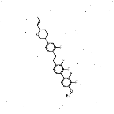 C/C=C/C1CCC(c2ccc(CCc3ccc(-c4ccc(OCC)c(F)c4F)c(F)c3F)c(F)c2)CO1